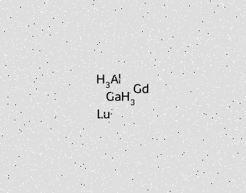 [AlH3].[GaH3].[Gd].[Lu]